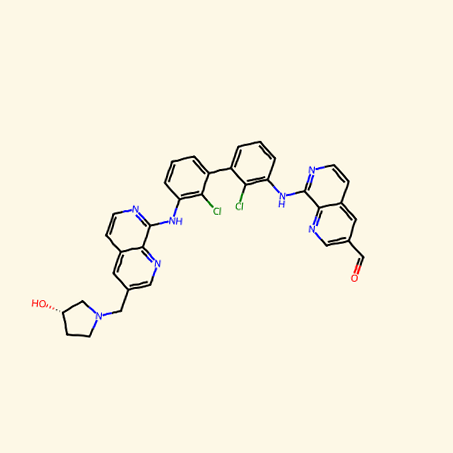 O=Cc1cnc2c(Nc3cccc(-c4cccc(Nc5nccc6cc(CN7CC[C@H](O)C7)cnc56)c4Cl)c3Cl)nccc2c1